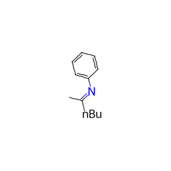 CCCC/C(C)=N/c1ccccc1